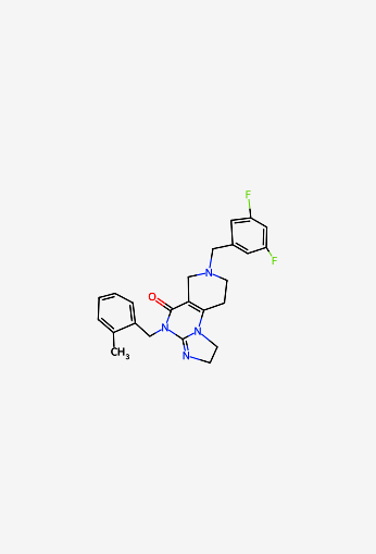 Cc1ccccc1CN1C(=O)C2=C(CCN(Cc3cc(F)cc(F)c3)C2)N2CCN=C12